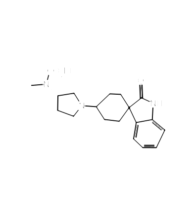 CCOC(=O)N(C)[C@H]1CCN(C2CCC3(CC2)C(=O)Nc2ccccc23)C1